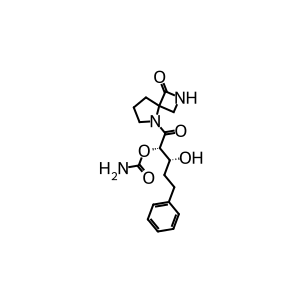 NC(=O)O[C@H](C(=O)N1CCCC12CNC2=O)[C@H](O)CCc1ccccc1